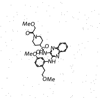 COCCc1ccc(OC)cc1Nc1nc2ccccc2nc1NS(=O)(=O)C1CCN(C(=O)COC)CC1